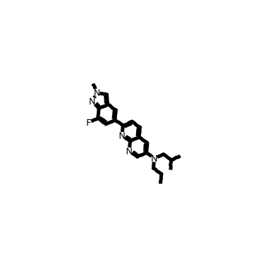 CCCN(CC(C)C)c1cnc2nc(-c3cc(F)c4nn(C)cc4c3)ccc2c1